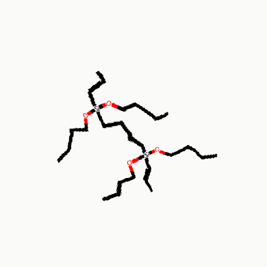 CC=C[Si](CCCC[Si](C=CC)(OCCCC)OCCCC)(OCCCC)OCCCC